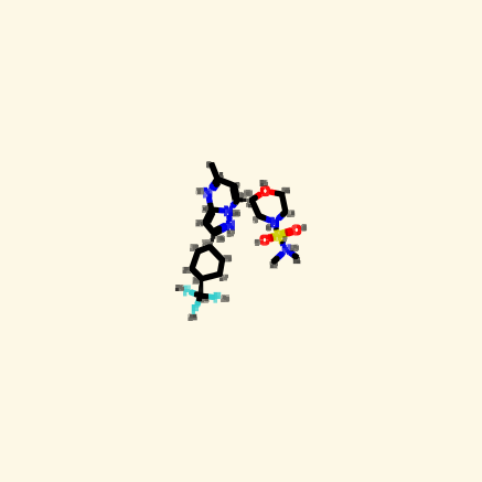 Cc1cc([C@H]2CN(S(=O)(=O)N(C)C)CCO2)n2nc([C@H]3CC[C@H](C(F)(F)F)CC3)cc2n1